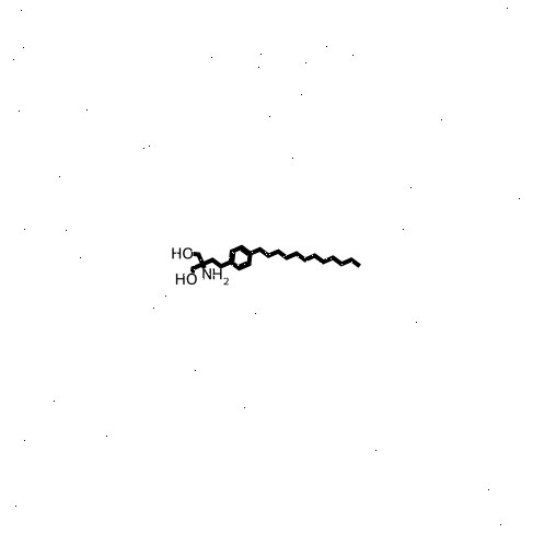 CCCCCCCCCCCCc1ccc(CCC(N)(CO)CO)cc1